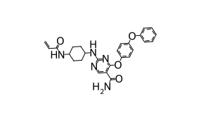 C=CC(=O)NC1CCC(Nc2ncc(C(N)=O)c(Oc3ccc(Oc4ccccc4)cc3)n2)CC1